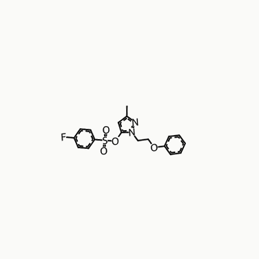 Cc1cc(OS(=O)(=O)c2ccc(F)cc2)n(CCOc2ccccc2)n1